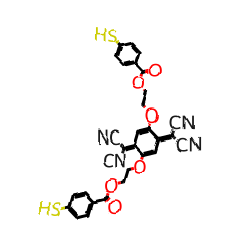 N#CC(C#N)=c1cc(OCCOC(=O)c2ccc(S)cc2)c(=C(C#N)C#N)cc1OCCOC(=O)c1ccc(S)cc1